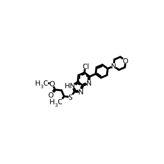 COC(=O)CC(C)Sc1nc2nc(C3=CCC(N4CCOCC4)C=C3)c(Cl)cc2[nH]1